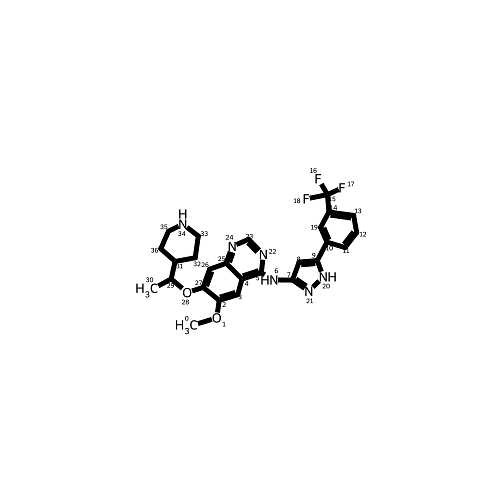 COc1cc2c(Nc3cc(-c4cccc(C(F)(F)F)c4)[nH]n3)ncnc2cc1OC(C)C1CCNCC1